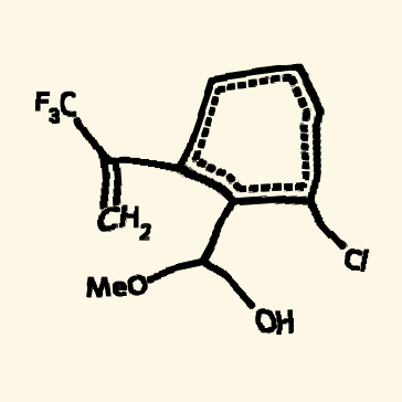 C=C(c1cccc(Cl)c1C(O)OC)C(F)(F)F